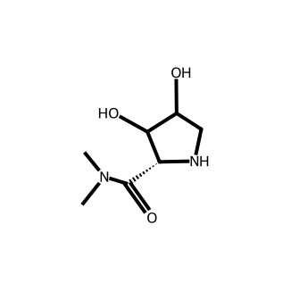 CN(C)C(=O)[C@H]1NCC(O)C1O